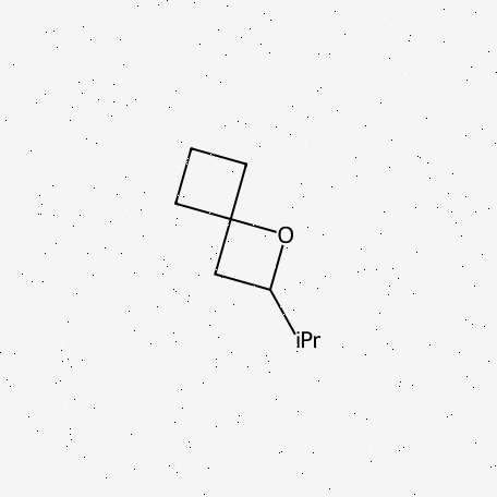 CC(C)C1CC2(CCC2)O1